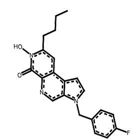 CCCCc1cc2c(ncc3c2ccn3Cc2ccc(F)cc2)c(=O)n1O